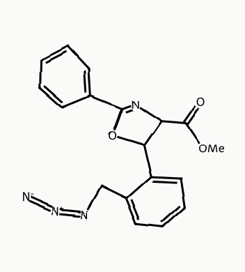 COC(=O)C1N=C(c2ccccc2)OC1c1ccccc1CN=[N+]=[N-]